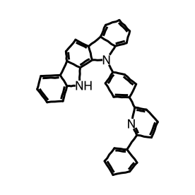 c1ccc(-c2cccc(-c3ccc(-n4c5ccccc5c5ccc6c7ccccc7[nH]c6c54)cc3)n2)cc1